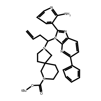 C=CCC(N1CCC2(CCCN(C(=O)OC(C)(C)C)C2)C1)n1c(-c2cccnc2N)nc2ccc(-c3ccccc3)nc21